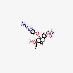 CC#C[C@@]1(O)CC[C@]2(CCOc3ccc(CNCCN(C)C)cc3)c3ccc(OC(=O)N(C)C)cc3CC[C@H]2C1